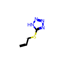 C=C[CH]Sc1nnn[nH]1